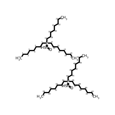 CCCCCCCC[PH](CCCCCCCC)(CCCCCCCC)[SnH]=[O].CCCCCCCC[PH](CCCCCCCC)(CCCCCCCC)[SnH]=[O]